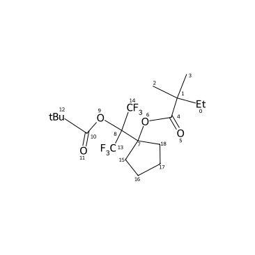 CCC(C)(C)C(=O)OC1(C(OC(=O)C(C)(C)C)(C(F)(F)F)C(F)(F)F)CCCC1